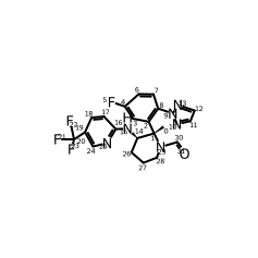 C[C@]1(c2cc(F)ccc2-n2nccn2)[C@H](Nc2ccc(C(F)(F)F)cn2)CCCN1C=O